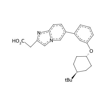 CC(C)(C)[C@H]1CC[C@H](Oc2cccc(-c3ccc4nc(CC(=O)O)cn4c3)c2)CC1